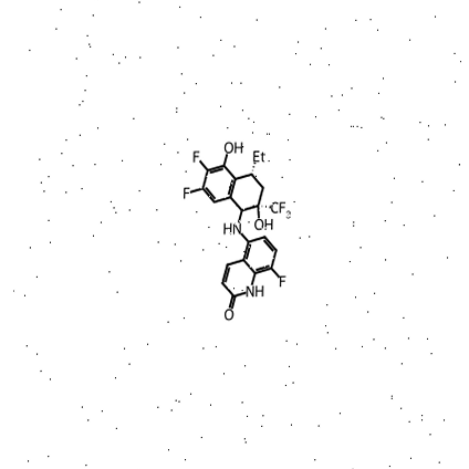 CC[C@@H]1C[C@](O)(C(F)(F)F)C(Nc2ccc(F)c3[nH]c(=O)ccc23)c2cc(F)c(F)c(O)c21